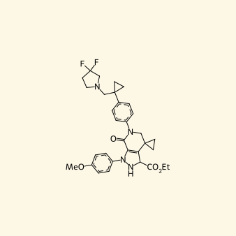 CCOC(=O)C1NN(c2ccc(OC)cc2)C2=C1C1(CC1)CN(c1ccc(C3(CN4CCC(F)(F)C4)CC3)cc1)C2=O